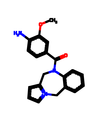 COc1cc(C(=O)N2Cc3cccn3Cc3ccccc32)ccc1N